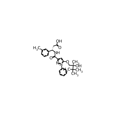 Cc1cccc([C@H](CC(=O)O)NC(=O)c2cc(OC[C@](C)(O)C(C)(C)C)n(-c3ccccc3)n2)c1